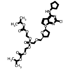 CC(C)OC(=O)OCOP(=O)(COC[C@@H]1CC[C@H](n2ccc3c(NC4CCCC4)nc(Cl)nc32)O1)OCOC(=O)OC(C)C